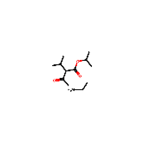 CC(=O)C(C(=O)OC(C)C)C(C)C.C[CH2][AlH2]